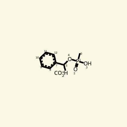 CP(=O)(O)OC(C(=O)O)c1ccccc1